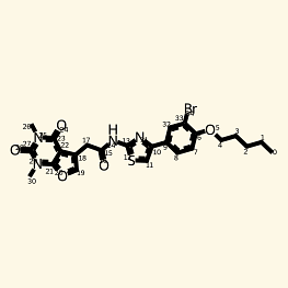 CCCCCOc1ccc(-c2csc(NC(=O)Cc3coc4c3c(=O)n(C)c(=O)n4C)n2)cc1Br